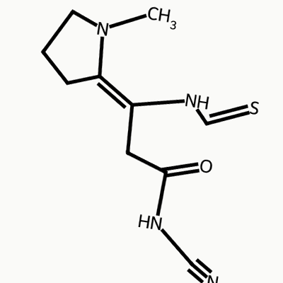 CN1CCC/C1=C(\CC(=O)NC#N)NC=S